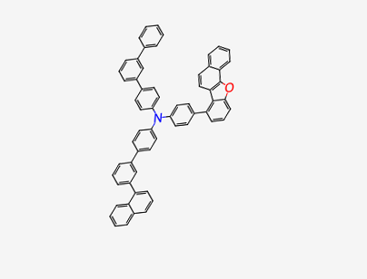 c1ccc(-c2cccc(-c3ccc(N(c4ccc(-c5cccc(-c6cccc7ccccc67)c5)cc4)c4ccc(-c5cccc6oc7c8ccccc8ccc7c56)cc4)cc3)c2)cc1